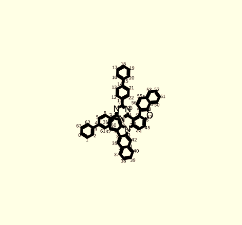 c1ccc(-c2ccc(-c3nc(-c4ccc(-c5ccccc5)cc4)nc(-c4c(-n5c6ccccc6c6cc7ccccc7cc65)ccc5oc6c7ccccc7ccc6c45)n3)cc2)cc1